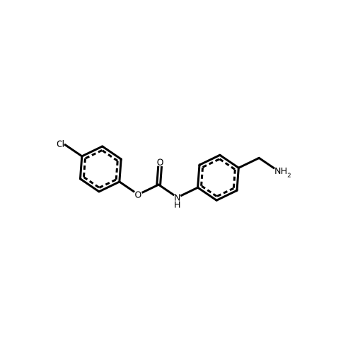 NCc1ccc(NC(=O)Oc2ccc(Cl)cc2)cc1